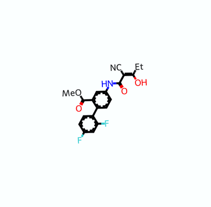 CC/C(O)=C(\C#N)C(=O)Nc1ccc(-c2ccc(F)cc2F)c(C(=O)OC)c1